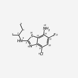 CCC(C)Nc1nc2c(Cl)cc(F)c(N)c2s1